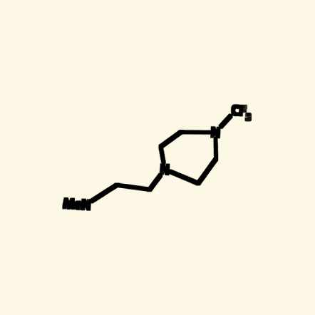 CNCCN1CCN(C(F)(F)F)CC1